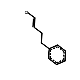 ClC=CCCc1ccccc1